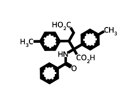 Cc1ccc(C(CC(=O)O)C(NC(=O)c2ccccc2)(C(=O)O)c2ccc(C)cc2)cc1